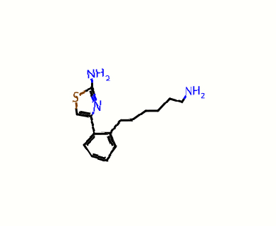 NCCCCCCc1ccccc1-c1csc(N)n1